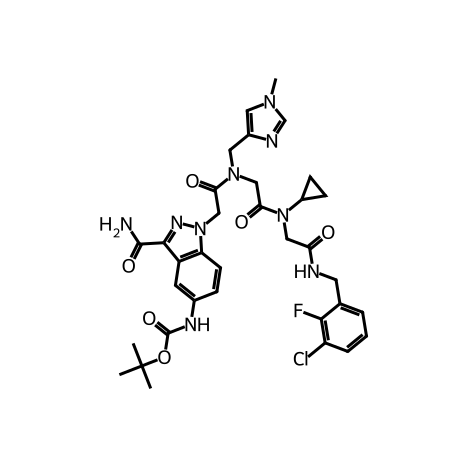 Cn1cnc(CN(CC(=O)N(CC(=O)NCc2cccc(Cl)c2F)C2CC2)C(=O)Cn2nc(C(N)=O)c3cc(NC(=O)OC(C)(C)C)ccc32)c1